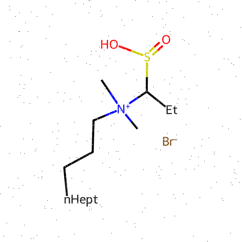 CCCCCCCCCC[N+](C)(C)C(CC)S(=O)O.[Br-]